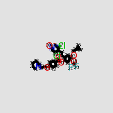 O=C(OC(Cc1c(Cl)c[n+]([O-])cc1Cl)c1ccc(OC(F)F)c(OCC2CC2)c1)c1ccc(OCCN2CCCCC2)cc1